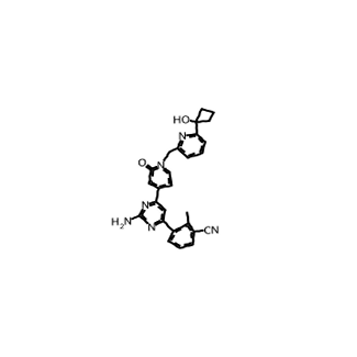 Cc1c(C#N)cccc1-c1cc(-c2ccn(Cc3cccc(C4(O)CCC4)n3)c(=O)c2)nc(N)n1